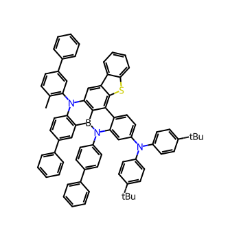 Cc1ccc(-c2ccccc2)cc1N1c2ccc(-c3ccccc3)cc2B2c3c1cc1c(sc4ccccc41)c3-c1ccc(N(c3ccc(C(C)(C)C)cc3)c3ccc(C(C)(C)C)cc3)cc1N2c1ccc(-c2ccccc2)cc1